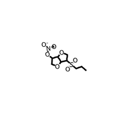 CCCS(=O)(=O)C1COC2C(O[N+](=O)[O-])COC21